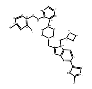 Cc1nnc(-c2ccc3c(c2)nc(CN2CCC(c4cccnc4OCc4ccc(Cl)cc4F)CC2)n3C[C@@H]2CCO2)[nH]1